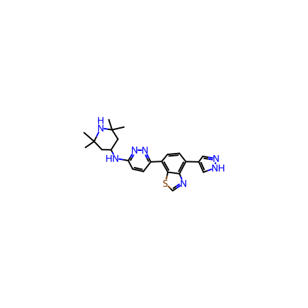 CC1(C)CC(Nc2ccc(-c3ccc(-c4cn[nH]c4)c4ncsc34)nn2)CC(C)(C)N1